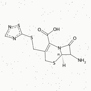 NC1C(=O)N2C(C(=O)O)=C(CSc3ncns3)CS[C@H]12